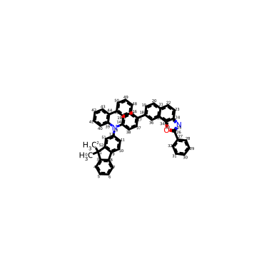 CC1(C)c2ccccc2-c2ccc(N(c3ccc(-c4ccc5ccc6nc(-c7ccccc7)oc6c5c4)cc3)c3ccccc3-c3ccccc3)cc21